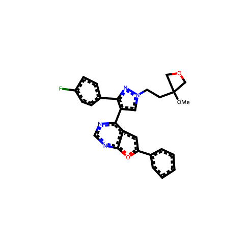 COC1(CCn2cc(-c3ncnc4oc(-c5ccccc5)cc34)c(-c3ccc(F)cc3)n2)COC1